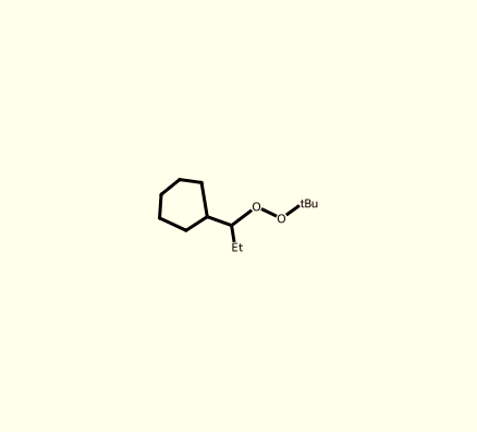 CCC(OOC(C)(C)C)C1CCCCC1